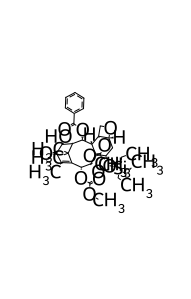 CC[Si](CC)(CC)O[C@H]1C[C@H]2OC[C@@]2(OC(C)=O)[C@H]2[C@H](OC(=O)c3ccccc3)[C@]3(O)CC(=O)C(C)=C([C@@H](OC(=O)OC)C(=O)[C@]12C)C3(C)C